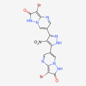 O=c1[nH]n2cc(-c3n[nH]c(-c4cnc5c(Br)c(=O)[nH]n5c4)c3[N+](=O)[O-])cnc2c1Br